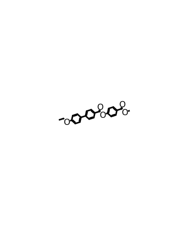 CCOc1ccc(-c2ccc(C(=O)Oc3ccc(C(=O)OC)cc3)cc2)cc1